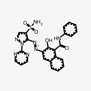 NS(=O)(=O)c1cnn(-c2ncccn2)c1/N=N/c1cc2ccccc2c(C(=O)Nc2ccccc2)c1O